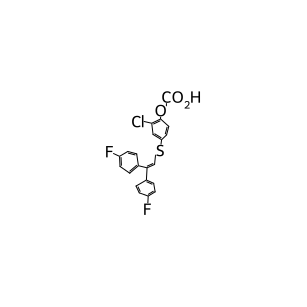 O=C(O)COc1ccc(SCC=C(c2ccc(F)cc2)c2ccc(F)cc2)cc1Cl